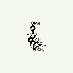 COc1ccc(C(=O)Nc2ccc(F)c([C@]3(C)CS(=O)(=O)N(C)C(=N)N3)c2F)nc1